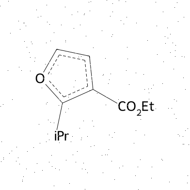 CCOC(=O)c1ccoc1C(C)C